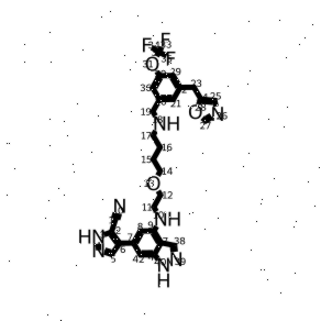 N#Cc1[nH]ncc1-c1cc(NCCOCCCCNCc2cc(Cc3cnco3)cc(OC(F)(F)F)c2)c2cn[nH]c2c1